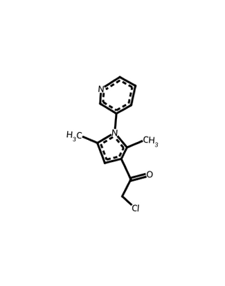 Cc1cc(C(=O)CCl)c(C)n1-c1cccnc1